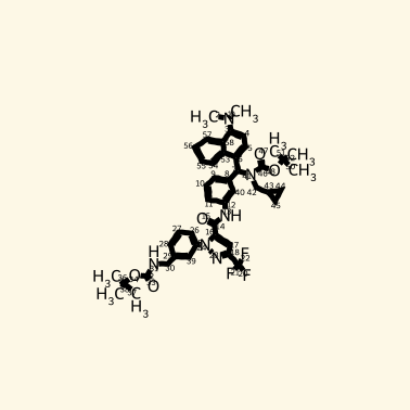 CN(C)c1ccc(C(c2cccc(NC(=O)c3cc(C(F)(F)F)nn3-c3cccc(CNC(=O)OC(C)(C)C)c3)c2)N(CC2CC2)C(=O)OC(C)(C)C)c2ccccc12